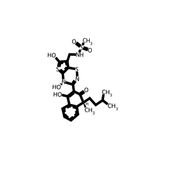 CC(C)CC[C@@]1(C)C(=O)C(C2=NSc3c(sc(O)c3CNS(C)(=O)=O)N2O)=C(O)c2ccccc21